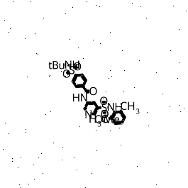 COc1ncc(NC(=O)c2ccc(S(=O)(=O)NC(C)(C)C)cc2)cc1S(=O)(=O)Nc1c(C)cccc1C